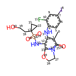 Cc1c(Nc2ccc(I)cc2F)c(NS(=O)(=O)C2(CCO)CC2)c2n(c1=O)CCO2